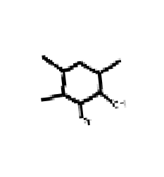 CC(C)C1C(C)C(C)CC(C)C1O